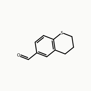 O=Cc1ccc2c(c1)CCCS2